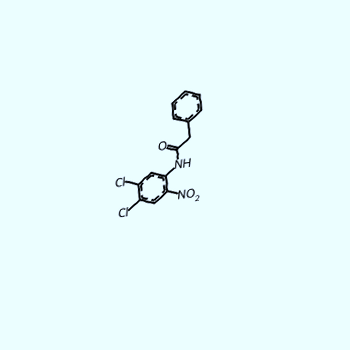 O=C(Cc1ccccc1)Nc1cc(Cl)c(Cl)cc1[N+](=O)[O-]